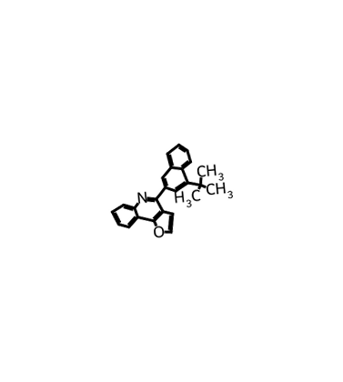 CC(C)(C)c1cc(-c2nc3ccccc3c3occc23)cc2ccccc12